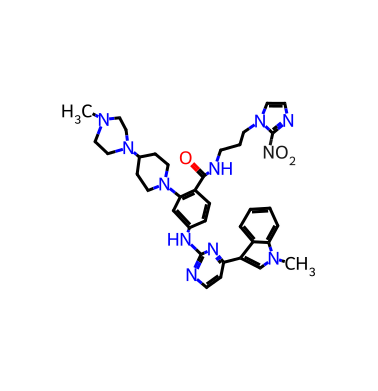 CN1CCN(C2CCN(c3cc(Nc4nccc(-c5cn(C)c6ccccc56)n4)ccc3C(=O)NCCCn3ccnc3[N+](=O)[O-])CC2)CC1